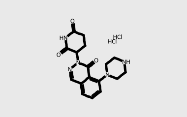 Cl.Cl.O=C1CCC(n2ncc3cccc(N4CCNCC4)c3c2=O)C(=O)N1